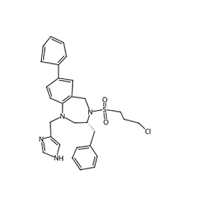 O=S(=O)(CCCCl)N1Cc2cc(-c3ccccc3)ccc2N(Cc2c[nH]cn2)C[C@H]1Cc1ccccc1